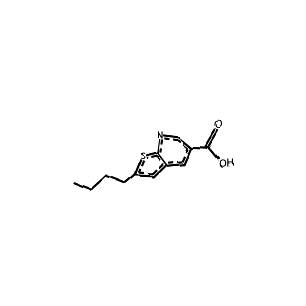 CCCCc1cc2cc(C(=O)O)cnc2s1